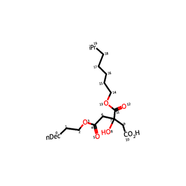 CCCCCCCCCCCCOC(=O)CC(O)(CC(=O)O)C(=O)OCCCCCC(C)C